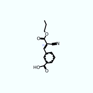 CCCOC(=O)/C(C#N)=C/c1cccc(C(=O)O)c1